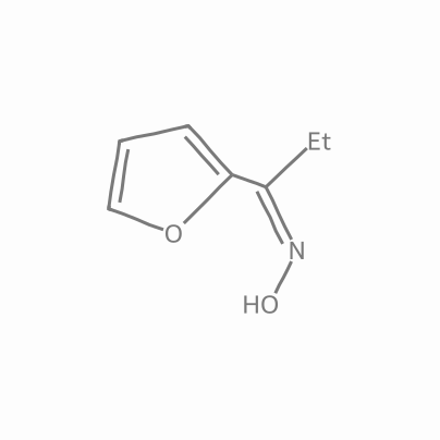 CC/C(=N/O)c1ccco1